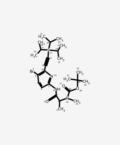 CC(C(=O)Nc1ccc(Br)c(C#CS(C(C)C)(C(C)C)C(C)C)n1)N(C)C(=O)OC(C)(C)C